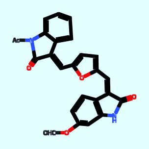 CC(=O)N1C(=O)/C(=C/c2ccc(/C=C3/C(=O)Nc4cc(OC=O)ccc43)o2)c2ccccc21